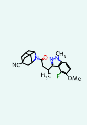 COc1ccc2c(c(C(C)CC(=O)N3C4CC5CC3CC(C#N)(C5)C4)nn2C)c1F